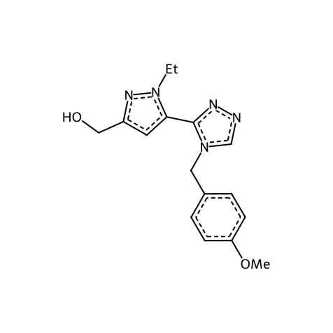 CCn1nc(CO)cc1-c1nncn1Cc1ccc(OC)cc1